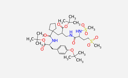 CC(C)(C)OC(=O)C(CNC(=O)C(CCS(C)(=O)=O)NS(C)(=O)=O)CC1(C(=O)N[C@@H](Cc2ccc(OC(C)(C)C)cc2)C(=O)OC(C)(C)C)CCCC1